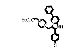 CCOC(=O)CN1CCN(CC2=C(c3ccc(Cl)cc3)NC3C=CC(c4ccccc4)=CN23)CC1